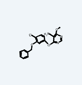 COc1ncnc(Oc2ccc(Cl)c(OCc3ccccc3)c2)c1N